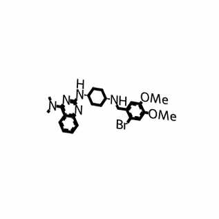 COc1cc(Br)c(CN[C@H]2CC[C@@H](Nc3nc(N(C)C)c4ccccc4n3)CC2)cc1OC